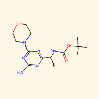 C[C@H](NC(=O)OC(C)(C)C)c1nc(N)nc(N2CCOCC2)n1